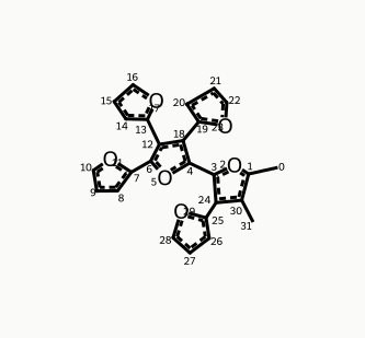 Cc1oc(-c2oc(-c3ccco3)c(-c3ccco3)c2-c2ccco2)c(-c2ccco2)c1C